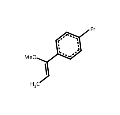 CC=C(OC)c1ccc(C(C)C)cc1